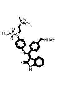 CC(=O)NCc1ccc(/C(Nc2ccc(N(CCN(C)C)S(C)(=O)=O)cc2)=C2/C(=O)Nc3ccccc32)cc1